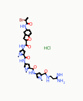 C=C(Br)C(=O)Nc1ccc2oc(C(=O)Nc3cc(C(=O)Nc4cc(C(=O)Nc5cc(C(=O)NCCC(=N)N)n(C)c5)n(C)c4)n(C)c3)cc2c1.Cl